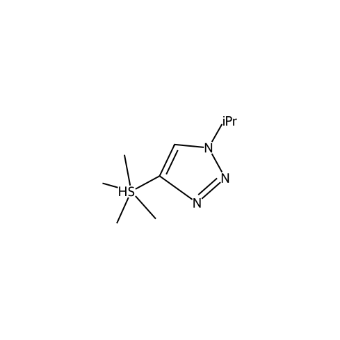 CC(C)n1cc([SH](C)(C)(C)C)nn1